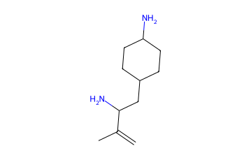 C=C(C)C(N)CC1CCC(N)CC1